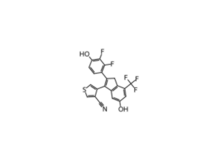 N#Cc1cscc1C1=C(c2ccc(O)c(F)c2F)Cc2c1cc(O)cc2C(F)(F)F